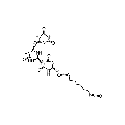 O=C=NCCCCCCN=C=O.O=c1[nH]c(=O)[nH]c(=O)[nH]1.O=c1[nH]c(=O)[nH]c(=O)[nH]1.O=c1[nH]c(=O)[nH]c(=O)[nH]1